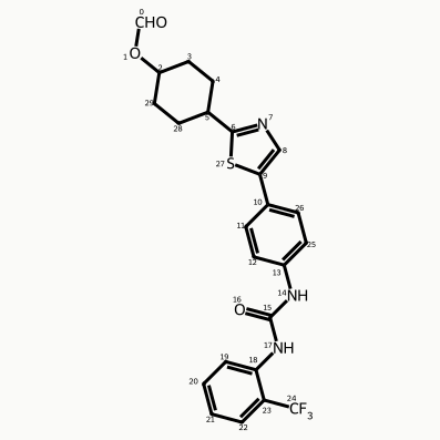 O=COC1CCC(c2ncc(-c3ccc(NC(=O)Nc4ccccc4C(F)(F)F)cc3)s2)CC1